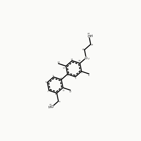 Cc1cc(-c2cccc(CO)c2C)c(C)cc1OCCO